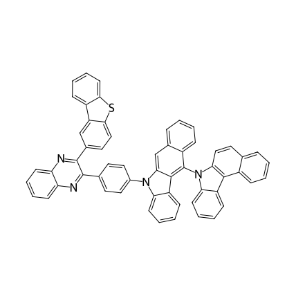 c1ccc2c(-n3c4ccccc4c4c5ccccc5ccc43)c3c4ccccc4n(-c4ccc(-c5nc6ccccc6nc5-c5ccc6sc7ccccc7c6c5)cc4)c3cc2c1